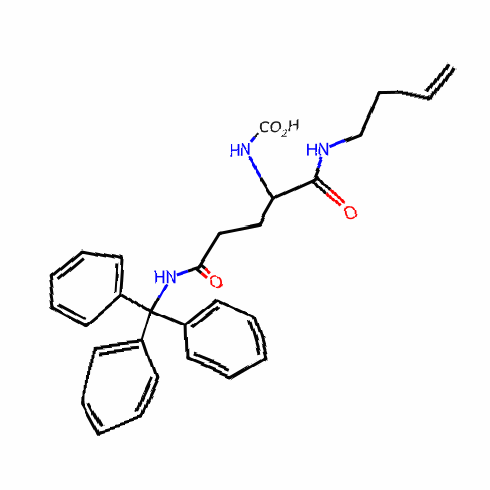 C=CCCNC(=O)C(CCC(=O)NC(c1ccccc1)(c1ccccc1)c1ccccc1)NC(=O)O